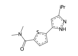 CC(C)c1cc(-c2ccc(C(=O)N(C)C)s2)[nH]n1